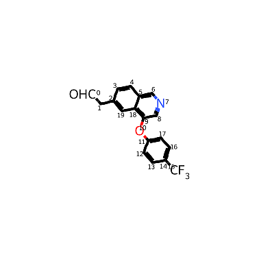 O=CCc1ccc2cncc(Oc3ccc(C(F)(F)F)cc3)c2c1